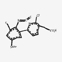 CSc1cc(F)c(N=C=S)c(-c2ccc(CC(=O)O)c(Cl)n2)c1